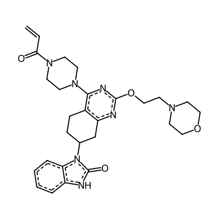 C=CC(=O)N1CCN(c2nc(OCCN3CCOCC3)nc3c2CCC(n2c(=O)[nH]c4ccccc42)C3)CC1